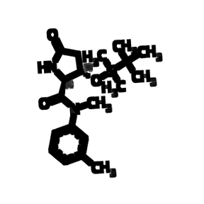 Cc1cccc(N(C)C(=O)[C@H]2NC(=O)C[C@@H]2O[Si](C)(C)C(C)(C)C)c1